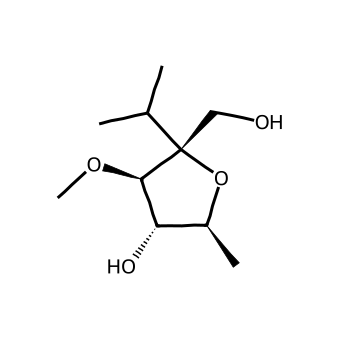 CO[C@@H]1[C@@H](O)[C@H](C)O[C@@]1(CO)C(C)C